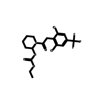 CCOC(=O)OC1CCCCN1C(=O)Cc1c(Cl)cc(C(F)(F)F)cc1Cl